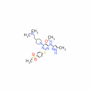 CCOc1c(Nc2cc(C)[nH]n2)nc(Sc2ccc(S(=O)(=O)CC)cc2)nc1N1CCC(CCN(C)C)CC1